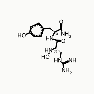 N=C(N)NC[C@H](NO)C(=O)N[C@@H](Cc1ccc(O)cc1)C(N)=O